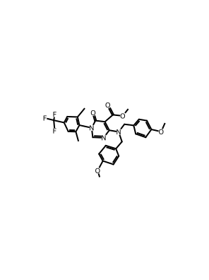 COC(=O)c1c(N(Cc2ccc(OC)cc2)Cc2ccc(OC)cc2)ncn(-c2c(C)cc(C(F)(F)F)cc2C)c1=O